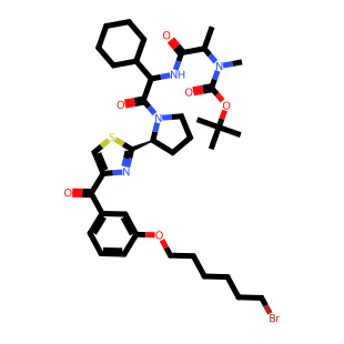 CC(C(=O)NC(C(=O)N1CCC[C@H]1c1nc(C(=O)c2cccc(OCCCCCCBr)c2)cs1)C1CCCCC1)N(C)C(=O)OC(C)(C)C